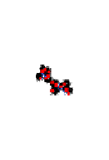 c1ccc(-n2c3ccc(-c4ccc5c(c4)c4ccccc4n5-c4cc5cccc6c5c(n4)-c4ncccc4-6)cc3c3ccc4ccccc4c32)cc1